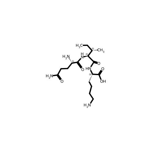 CC[C@H](C)[C@H](NC(=O)[C@@H](N)CCC(N)=O)C(=O)N[C@@H](CCCCN)C(=O)O